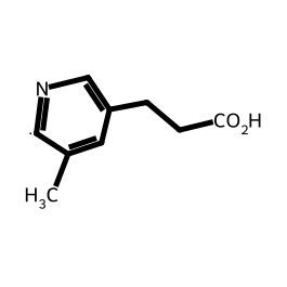 Cc1[c]ncc(CCC(=O)O)c1